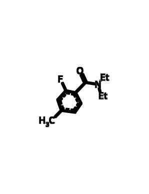 CCN(CC)C(=O)c1ccc(C)cc1F